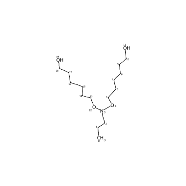 CCCN(OCCCCCCO)OCCCCCCO